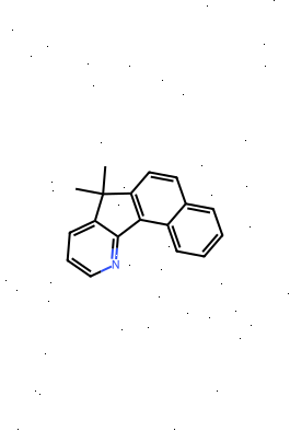 CC1(C)c2cccnc2-c2c1ccc1ccccc21